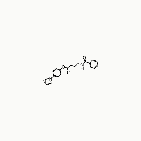 O=C(NCCCC(Cl)Oc1ccc(-n2ccnc2)cc1)c1ccccc1